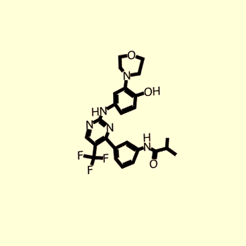 CC(C)C(=O)Nc1cccc(-c2nc(Nc3ccc(O)c(N4CCOCC4)c3)ncc2C(F)(F)F)c1